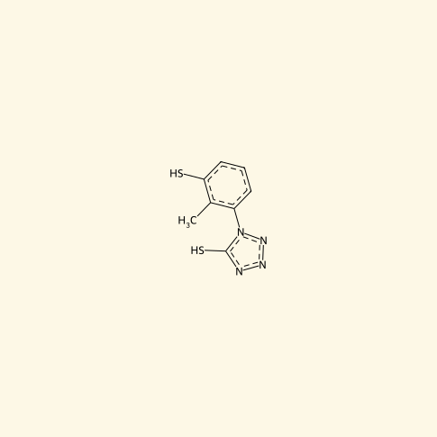 Cc1c(S)cccc1-n1nnnc1S